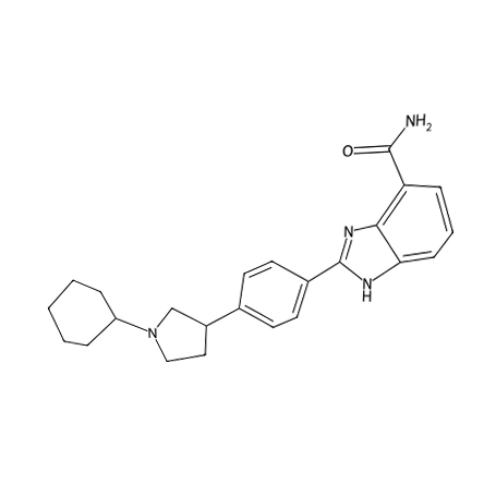 NC(=O)c1cccc2[nH]c(-c3ccc(C4CCN(C5CCCCC5)C4)cc3)nc12